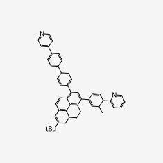 CC1C=C(c2cc(C3=CCC(c4ccc(-c5ccncc5)cc4)C=C3)c3ccc4c5c3c2CCC5CC(C(C)(C)C)=C4)C=CC1c1ccccn1